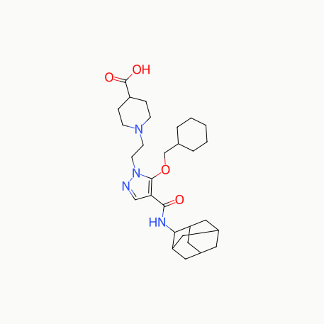 O=C(NC1C2CC3CC(C2)CC1C3)c1cnn(CCN2CCC(C(=O)O)CC2)c1OCC1CCCCC1